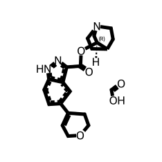 O=C(O[C@H]1CN2CCC1CC2)c1n[nH]c2ccc(C3=CCOCC3)cc12.O=CO